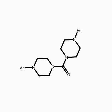 CC(=O)N1CCN(C(=O)N2CCN(C(C)=O)CC2)CC1